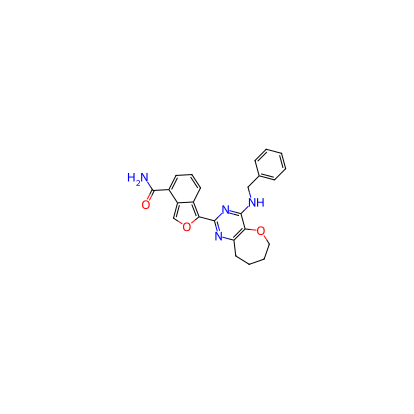 NC(=O)c1cccc2c(-c3nc4c(c(NCc5ccccc5)n3)OCCCC4)occ12